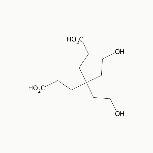 O=C(O)CCC(CCO)(CCO)CCC(=O)O